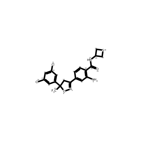 Nc1cc(C2=NOC(c3cc(Cl)cc(Cl)c3)(C(F)(F)F)C2)ccc1C(=O)NC1CSC1